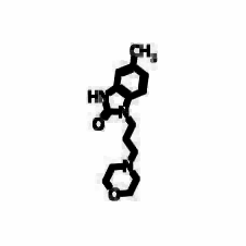 Cc1ccc2c(c1)[nH]c(=O)n2CCCN1CCOCC1